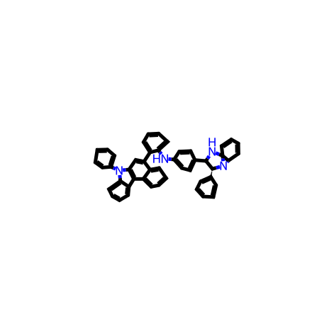 C1=CC2N3[C@H](c4ccccc4)C(c4ccc(Nc5ccccc5-c5cc6c(c7ccccc57)c5ccccc5n6-c5ccccc5)cc4)NC23C=C1